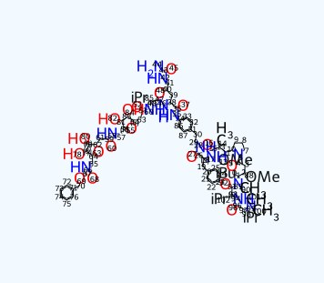 CCC(C)C(C(CC(=O)N1CCCC1C(OC)C(C)C(=O)N[C@@H](Cc1ccccc1)C(=O)NCCc1ccc(NC(=O)C(CCCNC(N)=O)NC(=O)[C@H](NC(=O)C[C@@H]2O[C@H](CNC(=O)CC3OC(CNC(=O)OCc4ccccc4)[C@@H](O)[C@H]3O)C(O)C2O)C(C)C)cc1)OC)N(C)C(=O)[C@@H](NC(=O)C(C(C)C)N(C)C)C(C)C